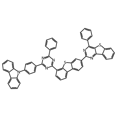 c1ccc(-c2nc(-c3ccc(-n4c5ccccc5c5ccccc54)cc3)nc(-c3cccc4c3sc3cc(-c5nc(-c6ccccc6)c6sc7ccccc7c6n5)ccc34)n2)cc1